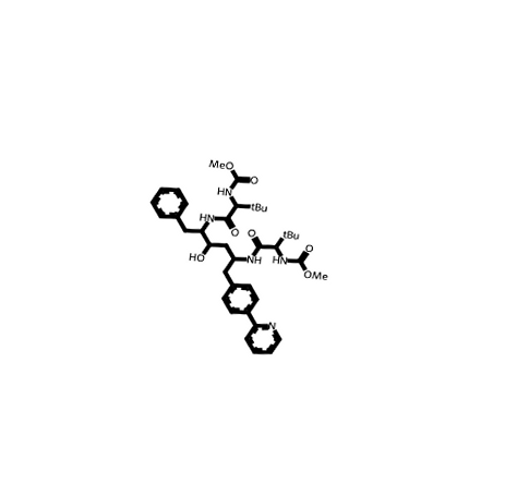 COC(=O)NC(C(=O)NC(Cc1ccc(-c2ccccn2)cc1)CC(O)C(Cc1ccccc1)NC(=O)C(NC(=O)OC)C(C)(C)C)C(C)(C)C